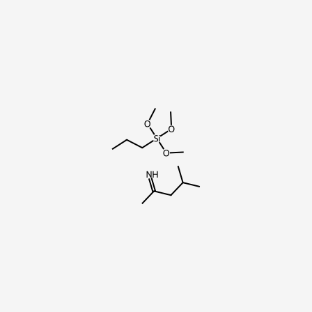 CC(=N)CC(C)C.CCC[Si](OC)(OC)OC